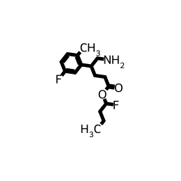 CCCC(F)OC(=O)CCC(CN)c1cc(F)ccc1C